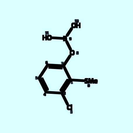 CSc1c(Cl)cccc1OB(O)O